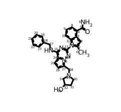 Cc1cc2c(C(N)=O)cccc2n1-c1nc(NCc2ccccc2)c2ccc(CN3CCC(O)C3)n2n1